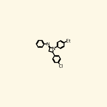 CCc1ccc(N2/C(=N/c3ccccc3)CC2c2ccc(Cl)cc2)cc1